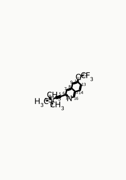 C[Si](C)(C)C#Cc1cc2cc(OC(F)(F)F)ccc2cn1